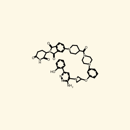 Nc1nnc(-c2ccccc2O)cc1N1CC(Oc2cccc(N3CCN(C(=O)C4CCN(c5ccc6c(c5)C(=O)N(C5CCC(=O)NC5=O)C6=O)CC4)CC3)c2)C1